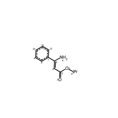 CC(C)OC(=O)C=C(N)c1ccccc1